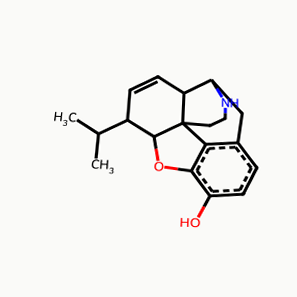 CC(C)C1C=CC2C3Cc4ccc(O)c5c4C2(CCN3)C1O5